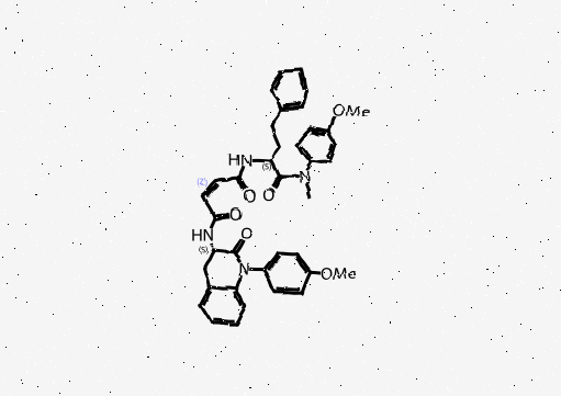 COc1ccc(N(C)C(=O)[C@H](CCc2ccccc2)NC(=O)/C=C\C(=O)N[C@H]2Cc3ccccc3N(c3ccc(OC)cc3)C2=O)cc1